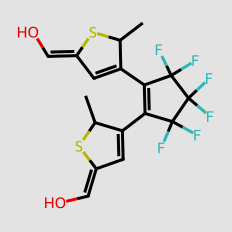 CC1SC(=CO)C=C1C1=C(C2=CC(=CO)SC2C)C(F)(F)C(F)(F)C1(F)F